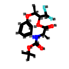 C[C@H](NC(=O)OC(C)(C)C)C(=O)O[C@H](C(F)F)[C@H](C)Oc1ccccc1